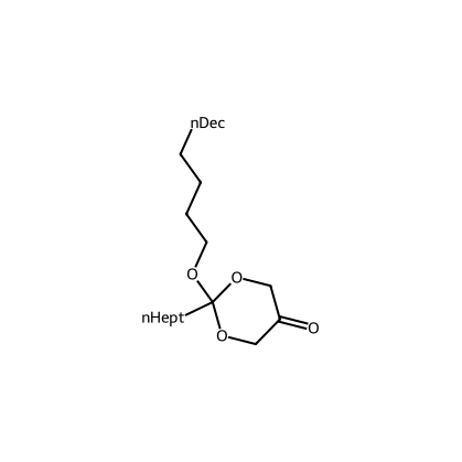 CCCCCCCCCCCCCCOC1(CCCCCCC)OCC(=O)CO1